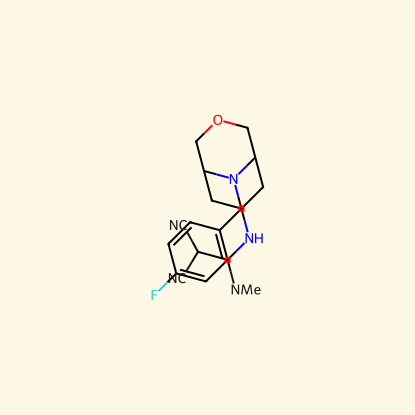 CNC(NC1CC2COCC(C1)N2Cc1ccc(F)cc1)C(C#N)C#N